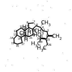 C=C(CC[C@@H](C)[C@H]1CC[C@H]2[C@@H]3CCC4CCCC[C@]4(C)[C@H]3CC[C@]12C)C(CC)=C(C)O